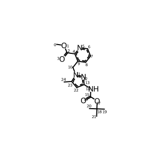 COC(=O)c1ncccc1Cn1nc(NC(=O)OC(C)(C)C)cc1C